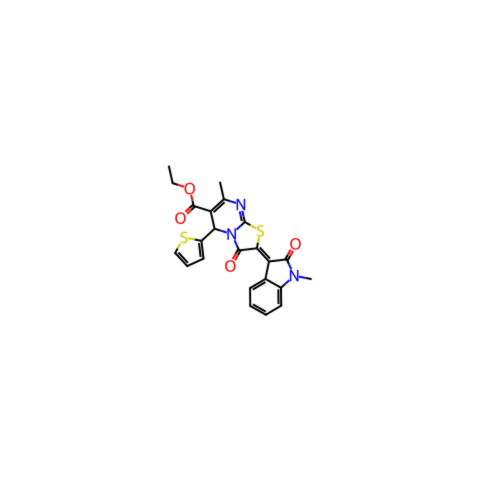 CCOC(=O)C1=C(C)N=c2s/c(=C3\C(=O)N(C)c4ccccc43)c(=O)n2C1c1cccs1